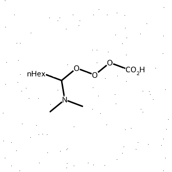 CCCCCCC(OOOC(=O)O)N(C)C